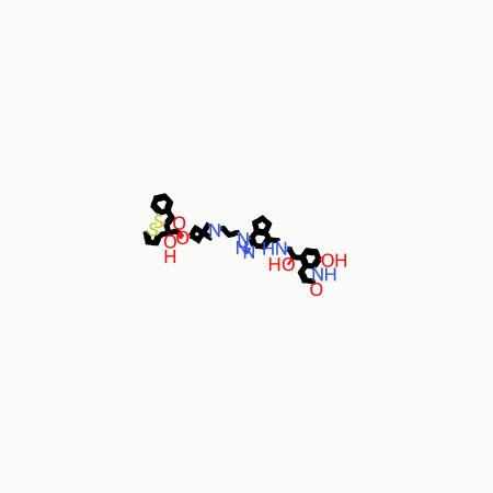 O=C(OC1CC2(C1)CN(CCCn1nnc3cc(CNC[C@H](O)c4ccc(O)c5[nH]c(=O)ccc45)c4c(c31)CCC4)C2)[C@@](O)(c1cccs1)c1cc2ccccc2s1